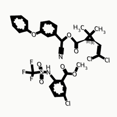 CC1(C)[C@H](C(=O)OC(C#N)c2cccc(Oc3ccccc3)c2)[C@@H]1C=C(Cl)Cl.COC(=O)c1cc(Cl)ccc1NS(=O)(=O)C(F)(F)F